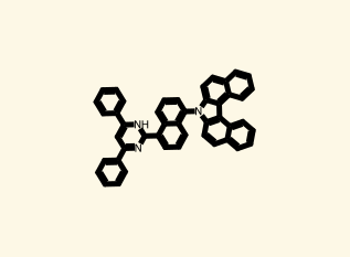 C1=C(c2ccccc2)NC(c2cccc3c(-n4c5ccc6ccccc6c5c5c6ccccc6ccc54)cccc23)N=C1c1ccccc1